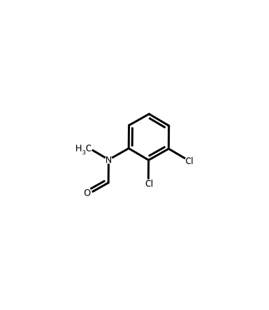 CN(C=O)c1cccc(Cl)c1Cl